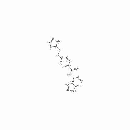 O=C(Nc1ccnc2[nH]ncc12)c1ccc(CNc2ncc[nH]2)cc1